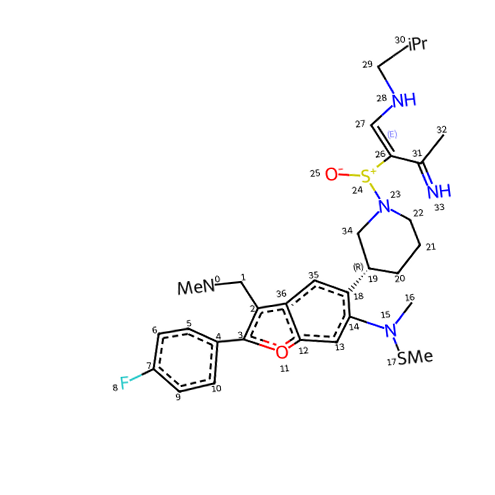 CNCc1c(-c2ccc(F)cc2)oc2cc(N(C)SC)c([C@H]3CCCN([S+]([O-])/C(=C/NCC(C)C)C(C)=N)C3)cc12